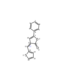 O=C1OC(c2ccccc2)=C/C1=C/c1cccs1